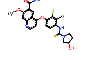 COc1cc2nccc(Oc3ccc(NC(=S)N4CC[C@@H](O)C4)c(Cl)c3F)c2cc1C(N)=O